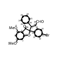 COc1cc(OC)c2c(c1)OC(c1ccc(Br)cc1)(C(CC=O)c1ccccc1)C2=O